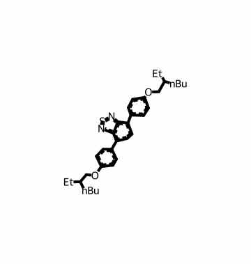 CCCCC(CC)COc1ccc(-c2ccc(-c3ccc(OCC(CC)CCCC)cc3)c3nsnc23)cc1